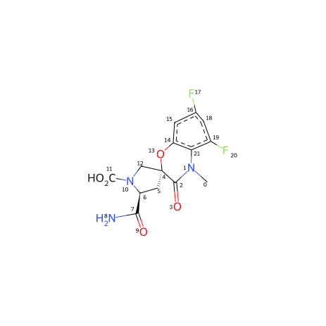 CN1C(=O)[C@]2(C[C@@H](C(N)=O)N(C(=O)O)C2)Oc2cc(F)cc(F)c21